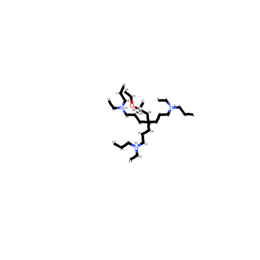 CCCN(CC)CCCC(CCCN(CC)CCC)(CCCN(CC)CCC)C[Si](C)(C)OCC